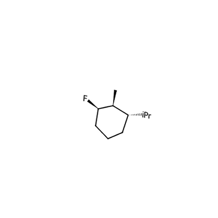 CC(C)[C@@H]1CCC[C@@H](F)[C@H]1C